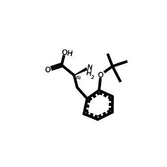 CC(C)(C)Oc1ccccc1C[C@H](N)C(=O)O